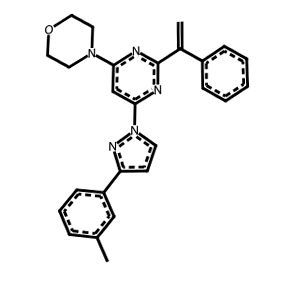 C=C(c1ccccc1)c1nc(N2CCOCC2)cc(-n2ccc(-c3cccc(C)c3)n2)n1